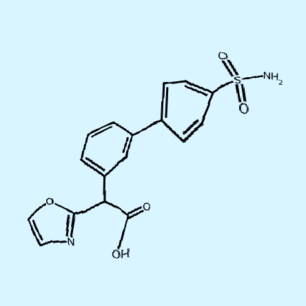 NS(=O)(=O)c1ccc(-c2cccc(C(C(=O)O)c3ncco3)c2)cc1